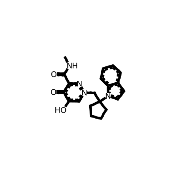 CNC(=O)c1nn(CC2(n3ccc4ccccc43)CCCC2)cc(O)c1=O